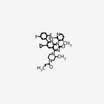 C=CC(=O)N1CCN(c2nc(=O)n(-c3c(C)ccnc3C(C)C)c3nc(-c4cc(F)ccc4F)c(C4CC4)cc23)C(C)C1